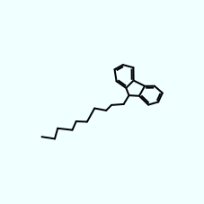 CCCCCCCCCCC1c2ccccc2-c2ccccc21